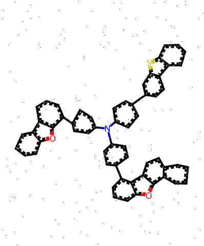 c1ccc2c(c1)ccc1c2oc2cccc(-c3ccc(N(c4ccc(-c5ccc6c(c5)sc5ccccc56)cc4)c4ccc(-c5cccc6c5oc5ccccc56)cc4)cc3)c21